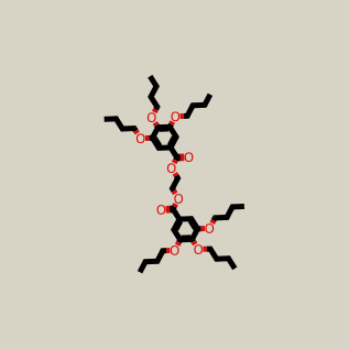 CCCCOc1cc(C(=O)OCCOC(=O)c2cc(OCCCC)c(OCCCC)c(OCCCC)c2)cc(OCCCC)c1OCCCC